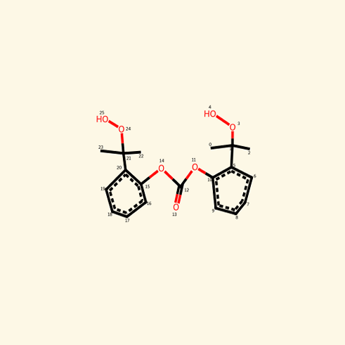 CC(C)(OO)c1ccccc1OC(=O)Oc1ccccc1C(C)(C)OO